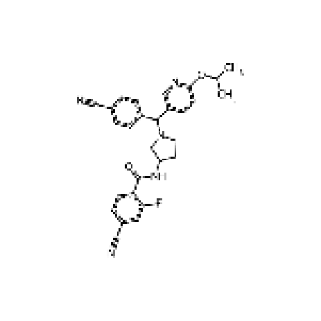 CC(C)Oc1ccc(C(c2ccc(C#N)cc2)N2CCC(NC(=O)c3ccc(C#N)cc3F)C2)cn1